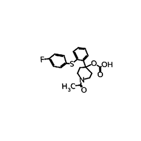 CC(=O)N1CCC(OC(=O)O)(c2ccccc2Sc2ccc(F)cc2)CC1